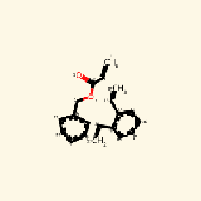 C=CC(=O)OCc1ccccc1.C=Cc1ccccc1C=C